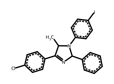 CC1C(c2ccc(Cl)cc2)=NC(c2ccccc2)N1c1ccc(I)cc1